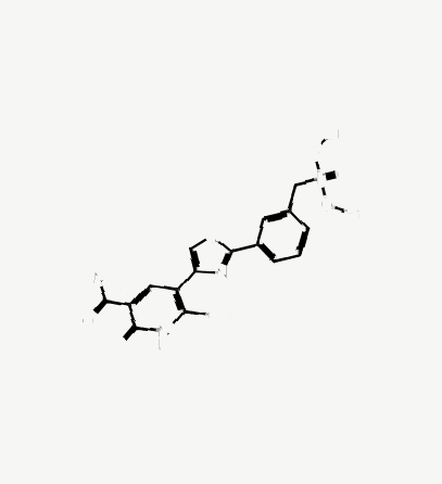 CCOP(=O)(Cc1cccc(-c2nc(-c3cc(C(N)=O)c(=O)[nH]c3C)cs2)c1)OCC